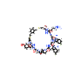 C[C@@H]1NC(=O)[C@@H]2CCCN2C(=O)[C@H](Cc2c[nH]c3ccc(F)cc23)NC(=O)[C@H](Cc2c[nH]c3ccc(F)cc23)NC(=O)CNC(=O)[C@H](CCCCN)NC(=O)CCSCc2cccc(c2)CSCCNC(=O)[C@H](Cc2ccc(O)cc2)NC1=O